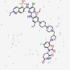 CCOc1cc(N2CCC(N3CCN(CC4CCN(c5cc(F)cc6c5oc(=O)n6C5CCC(=O)NC5=O)C4)CC3)CC2)c(CC)cc1Nc1ncc(Br)c(Nc2ccc3nc(CC)ccc3c2P(C)(C)=O)n1